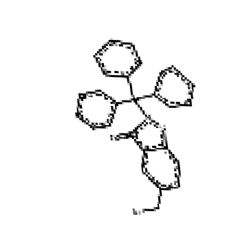 O=c1c2cc(CBr)ccc2on1C(c1ccccc1)(c1ccccc1)c1ccccc1